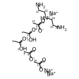 CC(=O)O.CC(=O)O.CC(=O)[O-].CC(=O)[O-].CC(=O)[O-].NCCNCCN.[Na+].[Na+].[Na+]